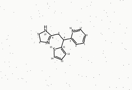 c1ccc(C(CC2=NCCN2)c2cccs2)nc1